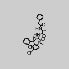 C[C@H](NC(=O)Cc1ccccc1)C(=O)NC1N=C(c2ccccc2Cl)c2cc(Cl)ccc2N(C)C1=O